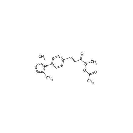 CC(=O)ON(C)C(=O)/C=C/c1ccc(-n2c(C)ccc2C)cc1